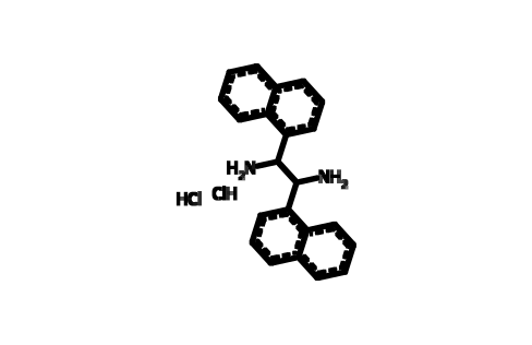 Cl.Cl.NC(c1cccc2ccccc12)C(N)c1cccc2ccccc12